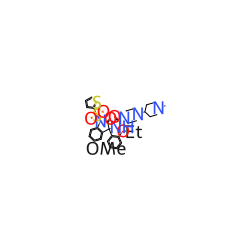 CCOc1ccccc1C1(NC(=O)N2CCN(C3CCN(C)CC3)CC2)C(=O)N(S(=O)(=O)c2cccs2)c2ccc(OC)cc21